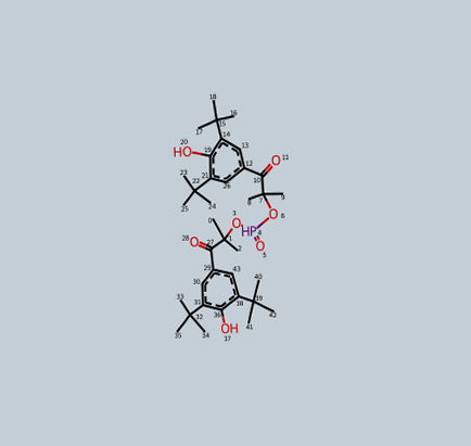 CC(C)(O[PH](=O)OC(C)(C)C(=O)c1cc(C(C)(C)C)c(O)c(C(C)(C)C)c1)C(=O)c1cc(C(C)(C)C)c(O)c(C(C)(C)C)c1